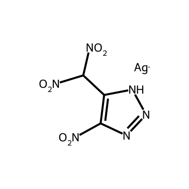 O=[N+]([O-])c1nn[nH]c1C([N+](=O)[O-])[N+](=O)[O-].[Ag]